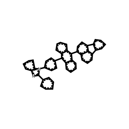 c1ccc(-c2nc3ccccc3n2-c2ccc(-c3c4ccccc4c(-c4ccc5c6c(cccc46)-c4ccccc4-5)c4ccccc34)cc2)cc1